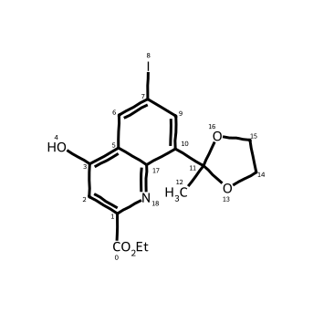 CCOC(=O)c1cc(O)c2cc(I)cc(C3(C)OCCO3)c2n1